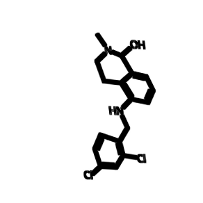 CN1CCc2c(NCc3ccc(Cl)cc3Cl)cccc2C1O